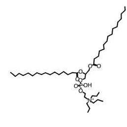 CCCCCCCCCCCCCCCC(=O)OCC(COP(=O)(O)OCC[N+](CCC)(CCC)CCC)OC(=O)CCCCCCCCCCCCCCC